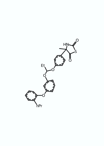 CCCc1ccccc1Oc1cccc(OC(CC)Oc2ccc(C3(C)NC(=O)SC3=O)cc2)c1